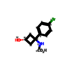 O=C(O)N[C@]1(c2ccc(Br)cc2)C[C@@H](O)C1